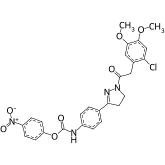 COc1cc(Cl)c(CC(=O)N2CCC(c3ccc(NC(=O)Oc4ccc([N+](=O)[O-])cc4)cc3)=N2)cc1OC